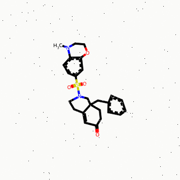 CN1CCOc2cc(S(=O)(=O)N3CCC4=CC(=O)CCC4(Cc4ccccc4)C3)ccc21